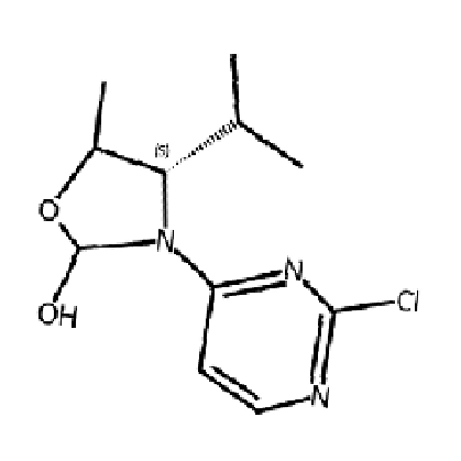 CC(C)[C@H]1C(C)OC(O)N1c1ccnc(Cl)n1